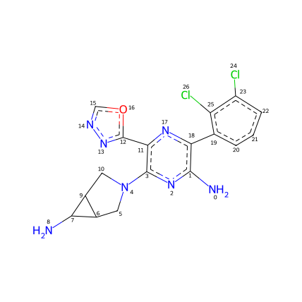 Nc1nc(N2CC3C(N)C3C2)c(-c2nnco2)nc1-c1cccc(Cl)c1Cl